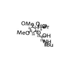 COc1cc(OC)c(C(=O)CC(C)C)c(OCC(O)CNC(C)(C)C)c1.Cl